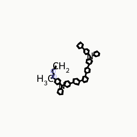 C=C/C=C\C=C(/C)c1ccc(N(c2ccccc2)c2ccc(-c3ccc(-c4cccc(-c5ccc(-c6ccc(N(c7ccccc7)c7ccc(-c8ccccc8)cc7)cc6)cc5)c4)cc3)cc2)cc1